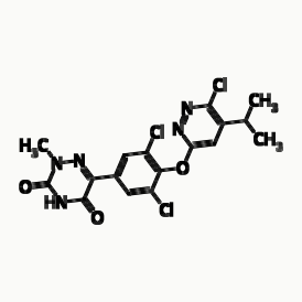 CC(C)c1cc(Oc2c(Cl)cc(-c3nn(C)c(=O)[nH]c3=O)cc2Cl)nnc1Cl